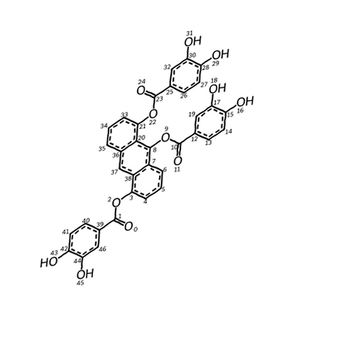 O=C(Oc1cccc2c(OC(=O)c3ccc(O)c(O)c3)c3c(OC(=O)c4ccc(O)c(O)c4)cccc3cc12)c1ccc(O)c(O)c1